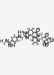 Cn1c(CNc2ccc(C(=N)N)cc2)nc2cc(C(=O)N(CCC(=O)C(C=O)(C=O)C=O)c3ccccn3)ccc21